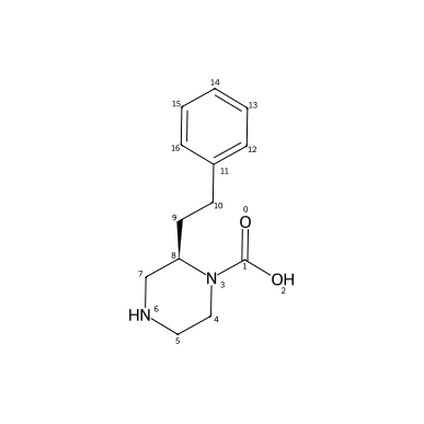 O=C(O)N1CCNC[C@H]1CCc1ccccc1